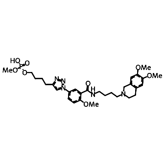 COc1cc2c(cc1OC)CN(CCCCNC(=O)c1cc(-n3cc(CCCCOP(=O)(O)OC)nn3)ccc1OC)CC2